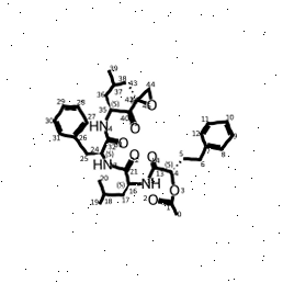 CC(=O)O[C@@H](CCc1ccccc1)C(=O)N[C@@H](CC(C)C)C(=O)N[C@@H](Cc1ccccc1)C(=O)N[C@@H](CC(C)C)C(=O)[C@@]1(C)CO1